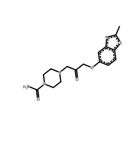 BC(=O)N1CCN(CC(=O)COc2ccc3sc(C)nc3c2)CC1